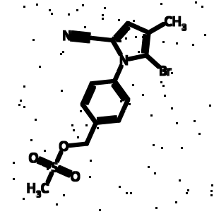 Cc1cc(C#N)n(-c2ccc(COS(C)(=O)=O)cc2)c1Br